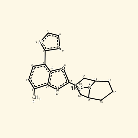 Cc1ccc(-c2nccs2)c2oc(N3CC4CCCC(C3)N4C(=O)O)nc12